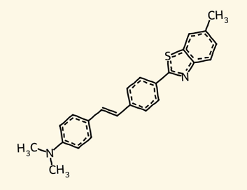 Cc1ccc2nc(-c3ccc(C=Cc4ccc(N(C)C)cc4)cc3)sc2c1